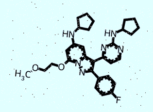 COCCOc1cc(NC2CCCC2)cc2c(-c3ccnc(NC4CCCC4)n3)c(-c3ccc(F)cc3)nn12